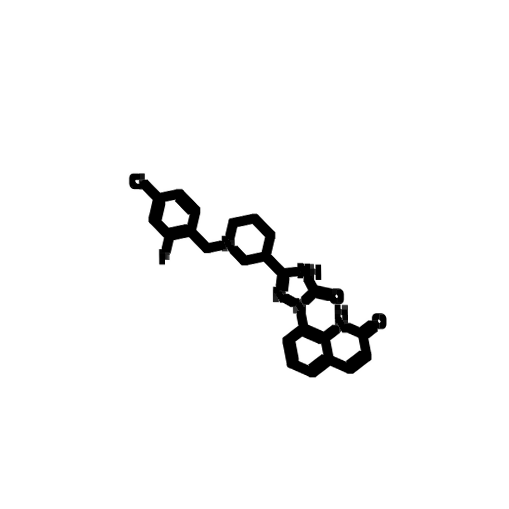 O=c1ccc2cccc(-n3nc(C4CCCN(Cc5ccc(Cl)cc5F)C4)[nH]c3=O)c2[nH]1